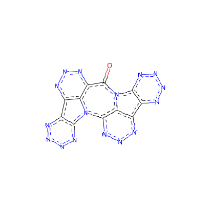 O=c1c2nnnc3c4nnnnc4n(c4nnnc5c6nnnnc6n1c54)c23